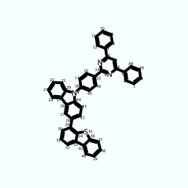 c1ccc(-c2cc(-c3ccccc3)nc(-c3ccc(-n4c5ccccc5c5cc(-c6cccc7c6sc6ccccc67)ccc54)cc3)n2)cc1